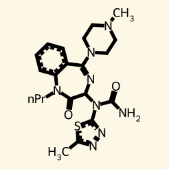 CCCN1C(=O)C(N(C(N)=O)c2nnc(C)s2)N=C(N2CCN(C)CC2)c2ccccc21